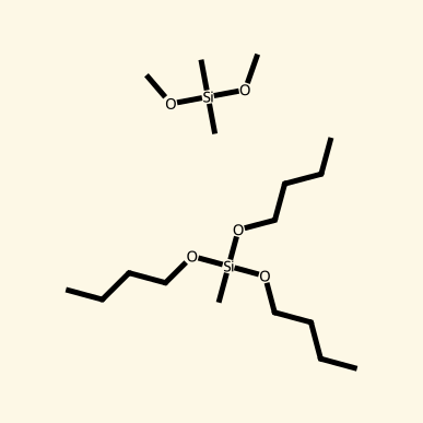 CCCCO[Si](C)(OCCCC)OCCCC.CO[Si](C)(C)OC